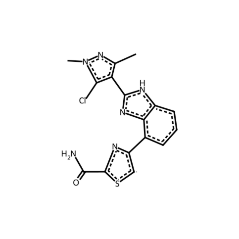 Cc1nn(C)c(Cl)c1-c1nc2c(-c3[c]sc(C(N)=O)n3)cccc2[nH]1